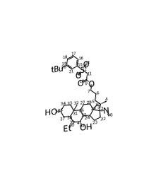 C=NC1([C@H](C)CCCOC(=O)CS(=O)(=O)c2cccc(C(C)(C)C)c2)CCC2C3C(CCC21C)C1(C)CC[C@@H](O)CC1[C@@H](CC)[C@H]3O